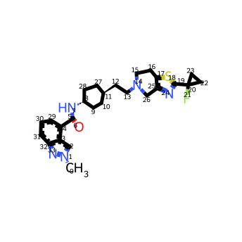 Cn1cc2c(C(=O)N[C@H]3CC[C@H](CCN4CCc5sc(C6(F)CC6)nc5C4)CC3)cccc2n1